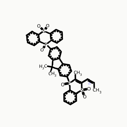 C/C=C\C1=C(C)P(=O)(c2ccc3c(c2)C(C)(C)c2cc(P4(=O)c5ccccc5S(=O)(=O)c5ccccc54)ccc2-3)c2ccccc2S1(=O)=O